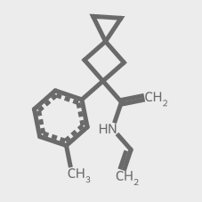 C=CNC(=C)C1(c2cccc(C)c2)CC2(CC2)C1